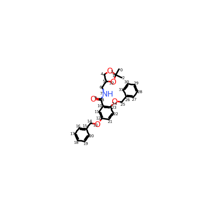 CC1(C)OCC(CNC(=O)c2cc(OCc3ccccc3)ccc2OCc2ccccc2)O1